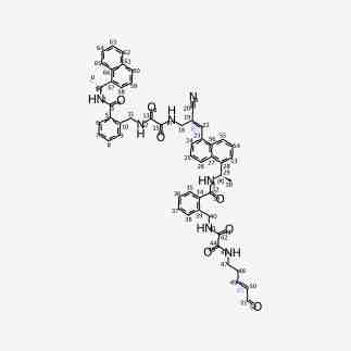 C[C@@H](NC(=O)c1ccccc1CNC(=O)C(=O)NC/C(C#N)=C\c1cccc2c([C@@H](C)NC(=O)c3ccccc3CNC(=O)C(=O)NCC/C=C/C=O)cccc12)c1cccc2ccccc12